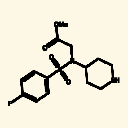 COC(=O)CN(C1CCNCC1)S(=O)(=O)c1ccc(F)cc1